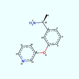 C[C@H](N)c1cccc(Oc2cccnc2)c1